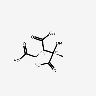 C[C@](O)(C(=O)O)[C@H](CC(=O)O)C(=O)O